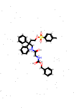 Cc1ccc(S(=O)(=O)OCCC(CNC(=O)CNC(=O)OCc2ccccc2)(c2ccccc2)c2ccccc2)cc1